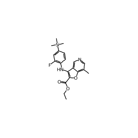 CCOC(=O)c1oc2c(C)cncc2c1Nc1ccc([Si](C)(C)C)cc1F